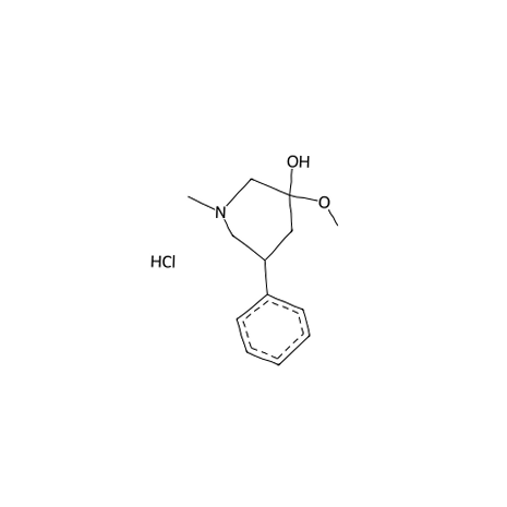 COC1(O)CC(c2ccccc2)CN(C)C1.Cl